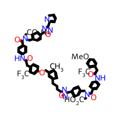 COc1ccc(CC(=O)Nc2ccc(C(=O)N(CC(=O)O)Cc3ccc(-c4noc(CCCc5ccc(C)c(COc6ccc(CC(=O)Nc7ccc(C(=O)N(CC(=O)O)Cc8ccc(-c9nc(-c%10ccccn%10)no9)cc8)cc7)c(C(F)(F)F)c6)c5)n4)cc3)cc2)c(C(F)(F)F)c1